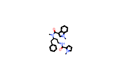 CN(C(=O)c1cn(C)c2ccccc12)C(CCNC(=O)c1cccn1C)Cc1ccccc1